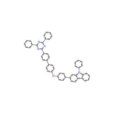 c1ccc(-c2nc(-c3ccccc3)nc(-c3ccc(-c4ccc(Oc5ccc(-c6ccc7c8ccccc8n(-c8ccccc8)c7c6)cc5)cc4)cc3)n2)cc1